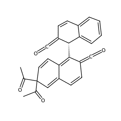 CC(=O)C1(C(C)=O)C=Cc2c([C@@H]3C(=C=O)C=Cc4ccccc43)c(=C=O)ccc2=C1